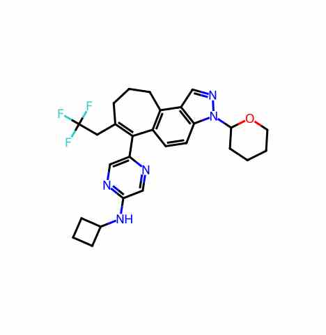 FC(F)(F)CC1=C(c2cnc(NC3CCC3)cn2)c2ccc3c(cnn3C3CCCCO3)c2CCC1